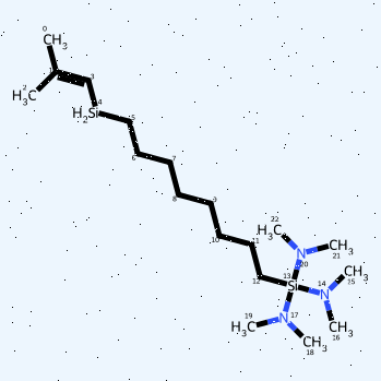 CC(C)=C[SiH2]CCCCCCCC[Si](N(C)C)(N(C)C)N(C)C